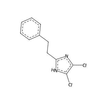 Clc1nc(CCc2ccccc2)[nH]c1Cl